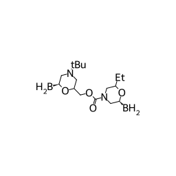 B[C@H]1CN(C(=O)OCC2CN(C(C)(C)C)C[C@H](B)O2)CC(CC)O1